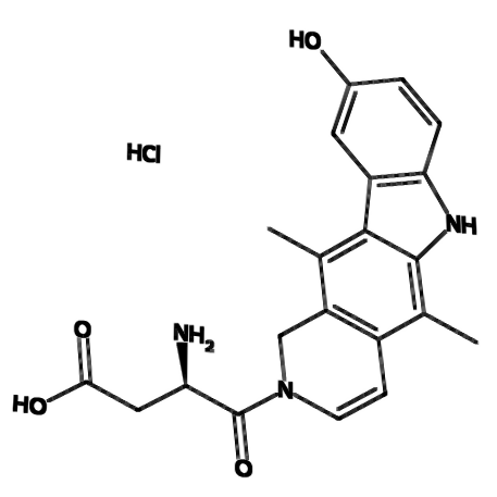 Cc1c2c(c(C)c3c1[nH]c1ccc(O)cc13)CN(C(=O)[C@H](N)CC(=O)O)C=C2.Cl